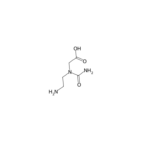 NCCN(CC(=O)O)C(N)=O